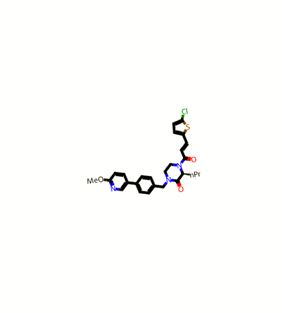 CCC[C@H]1C(=O)N(Cc2ccc(-c3ccc(OC)nc3)cc2)CCN1C(=O)C=Cc1ccc(Cl)s1